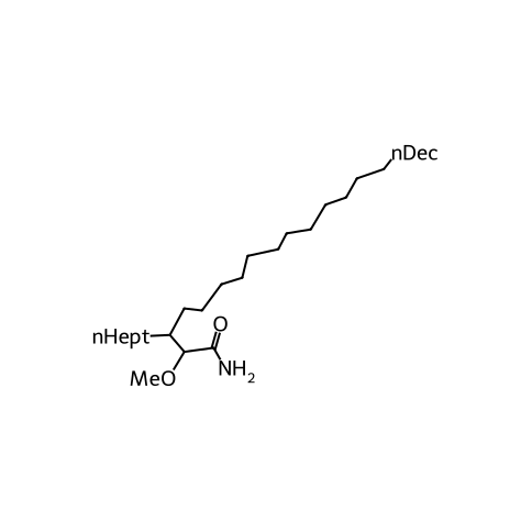 CCCCCCCCCCCCCCCCCCCCCCC(CCCCCCC)C(OC)C(N)=O